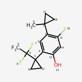 CC1(c2cc(C3(C(F)(F)C(F)(F)F)CC3)c(O)cc2F)CC1